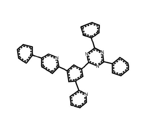 c1ccc(-c2ccc(-c3cc(-c4ccccn4)cc(-c4nc(-c5ccccc5)nc(-c5ccccc5)n4)c3)nc2)cc1